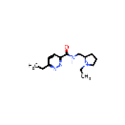 CCc1ccc(C(=O)NCC2CCCN2CC)nn1